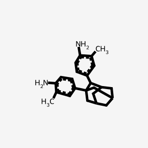 Cc1cc(C2C3CC4CC(C3)CC2(c2ccc(N)c(C)c2)C4)ccc1N